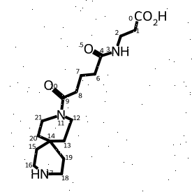 O=C(O)CCNC(=O)CCCC(=O)N1CCC2(CCNCC2)CC1